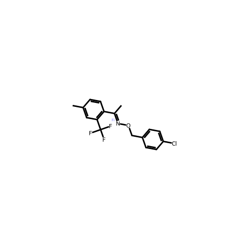 C/C(=N\OCc1ccc(Cl)cc1)c1ccc(C)cc1C(F)(F)F